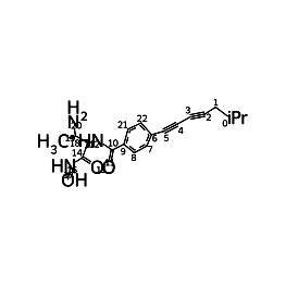 CC(C)CC#CC#Cc1ccc(C(=O)N[C@H](C(=O)NO)[C@@H](C)N)cc1